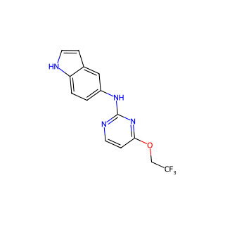 FC(F)(F)COc1ccnc(Nc2ccc3[nH]ccc3c2)n1